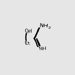 CCO.N=CN